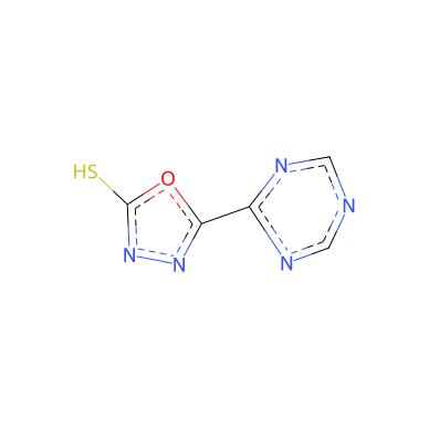 Sc1nnc(-c2ncncn2)o1